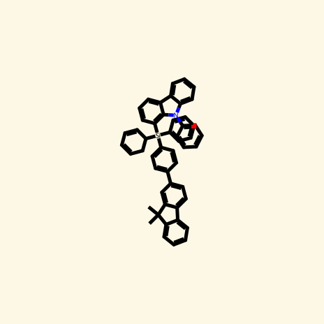 CC1(C)c2ccccc2-c2ccc(-c3ccc([Si](c4ccccc4)(c4cccc5c6ccccc6n(-c6ccccc6)c45)C4C=CC=CC4)cc3)cc21